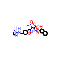 O=CNC(C1=NOC2(CCC(CNc3ncc[nH]3)CC2)C1)[C@H](NS(=O)(=O)c1ccc2ccccc2c1)C(=O)O